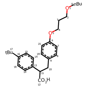 CCCCOCCCOc1ccc(CC(C(=O)O)c2ccc(C(C)(C)C)cc2)cc1